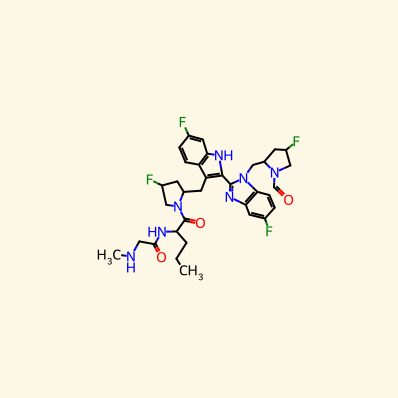 CCCC(NC(=O)CNC)C(=O)N1CC(F)CC1Cc1c(-c2nc3cc(F)ccc3n2CC2CC(F)CN2C=O)[nH]c2cc(F)ccc12